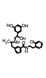 CC(Cc1cccc(C(=O)NCCc2ccccc2Cl)c1)NCC(O)c1cc(O)cc(O)c1